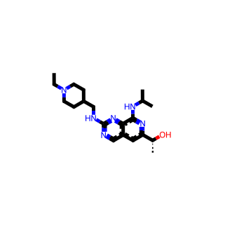 CCN1CCC(CNc2ncc3cc([C@@H](C)O)nc(NC(C)C)c3n2)CC1